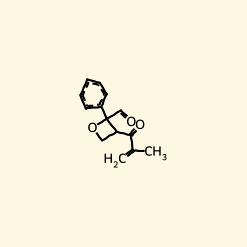 C=C(C)C(=O)C1COC1(C=O)c1ccccc1